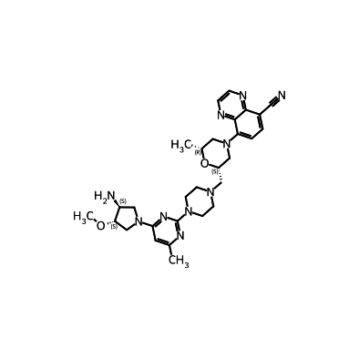 CO[C@H]1CN(c2cc(C)nc(N3CCN(C[C@H]4CN(c5ccc(C#N)c6nccnc56)C[C@@H](C)O4)CC3)n2)C[C@@H]1N